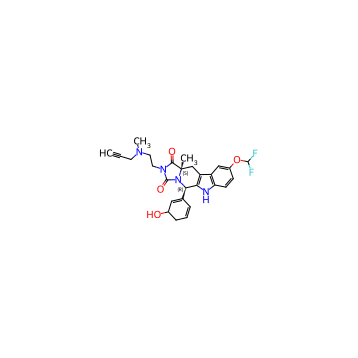 C#CCN(C)CCN1C(=O)N2[C@H](C3=CC(O)CC=C3)c3[nH]c4ccc(OC(F)F)cc4c3C[C@@]2(C)C1=O